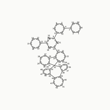 c1ccc(-c2cccc(-c3nc(-c4ccccc4)nc(-c4cccc5c4-c4ccccc4C54c5ccccc5-c5ccccc5-c5ccccc54)n3)c2)cc1